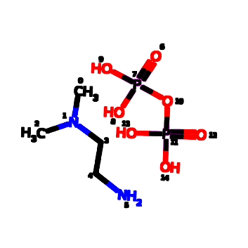 CN(C)CCN.O=P(O)(O)OP(=O)(O)O